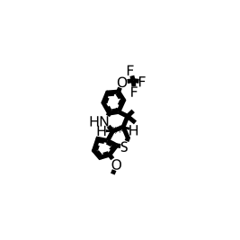 COc1cccc2c1SC[C@@H]1[C@H]2Nc2ccc(OC(F)(F)F)cc2C1(C)C